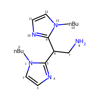 CCCCn1ccnc1C(CN)c1nccn1CCCC